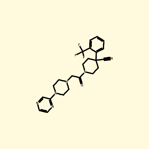 N#CC1(c2ccccc2C(F)(F)F)CCN(C(=O)CN2CCN(c3cnccn3)CC2)CC1